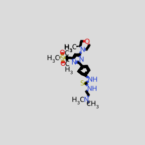 C[C@H]1COCCN1c1cc(C(C)(C)S(C)(=O)=O)nc(-c2ccc(NC(=S)NCCN(C)C)cc2)n1